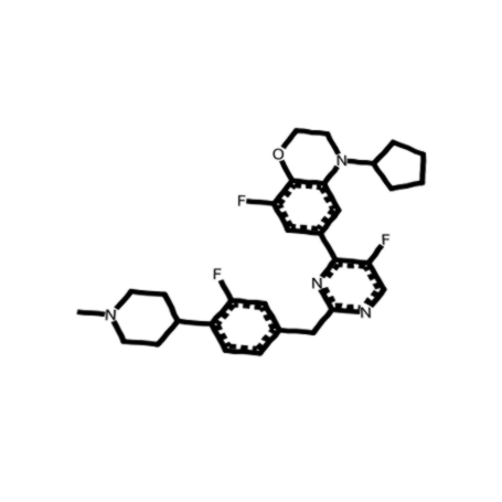 CN1CCC(c2ccc(Cc3ncc(F)c(-c4cc(F)c5c(c4)N(C4CCCC4)CCO5)n3)cc2F)CC1